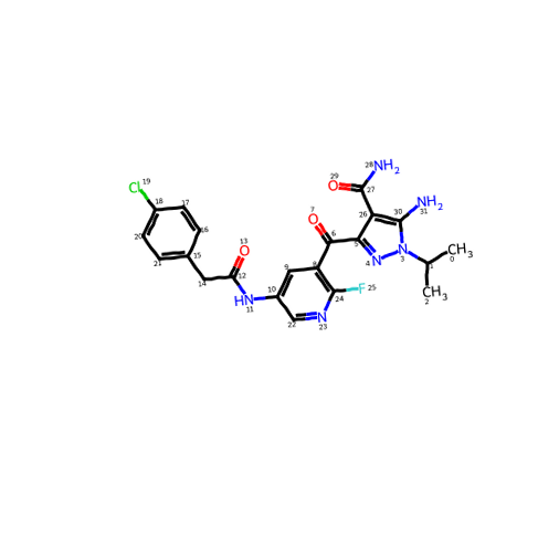 CC(C)n1nc(C(=O)c2cc(NC(=O)Cc3ccc(Cl)cc3)cnc2F)c(C(N)=O)c1N